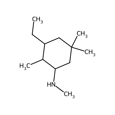 CCC1CC(C)(C)CC(NC)C1C